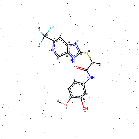 COc1ccc(NC(=O)C(C)Sc2nc3cc(C(F)(F)F)ncc3[nH]2)cc1O